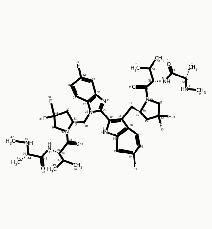 CN[C@@H](C)C(=O)N[C@H](C(=O)N1CC(F)(F)C[C@H]1Cc1c(-c2nc3cc(F)ccc3n2C[C@@H]2CC(F)(F)CN2C(=O)[C@@H](NC(=O)[C@H](C)NC)C(C)C)[nH]c2cc(F)ccc12)C(C)C